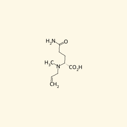 C=CCN(C)[C@H](CCC(N)=O)C(=O)O